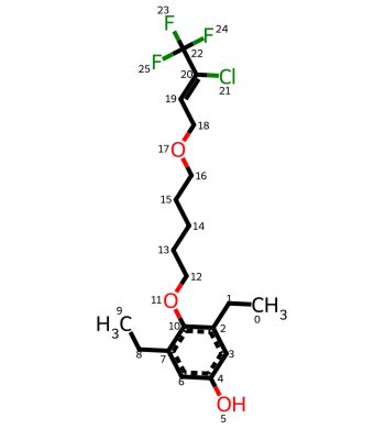 CCc1cc(O)cc(CC)c1OCCCCCOC/C=C(\Cl)C(F)(F)F